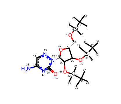 CC(C)(C)[Si](C)(C)OC[C@H]1O[C@@H](n2ncc(N)nc2=O)C(O[Si](C)(C)C(C)(C)C)C1O[Si](C)(C)C(C)(C)C